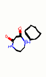 C1CCCCC1.O=C1NCCNC1=O